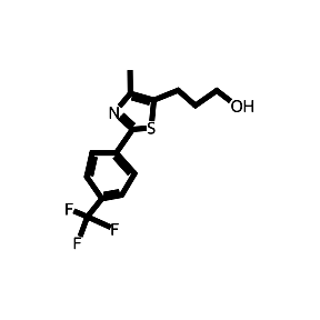 Cc1nc(-c2ccc(C(F)(F)F)cc2)sc1CCCO